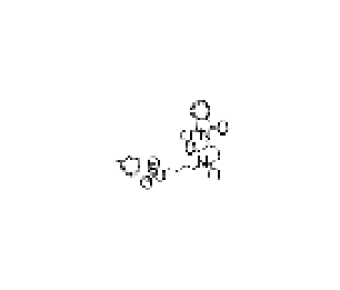 Cc1ccc(S(=O)(=O)OCCCCN2C(=O)CCC(N3C(=O)c4ccccc4C3=O)C2=O)cc1